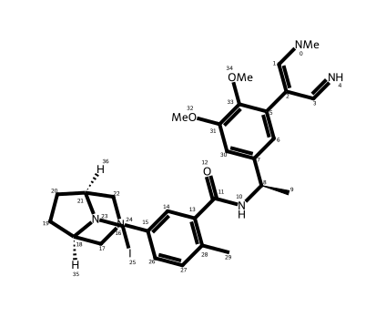 CN/C=C(\C=N)c1cc([C@@H](C)NC(=O)c2cc(N3C[C@H]4CC[C@@H](C3)N4CI)ccc2C)cc(OC)c1OC